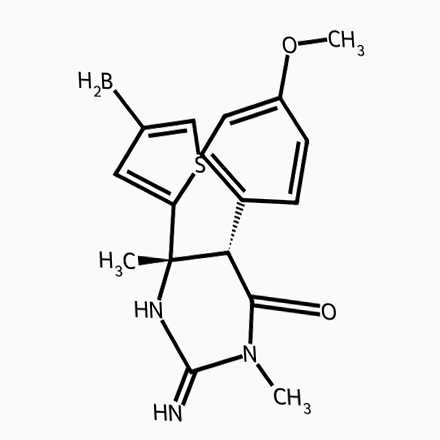 Bc1csc([C@@]2(C)NC(=N)N(C)C(=O)[C@H]2c2ccc(OC)cc2)c1